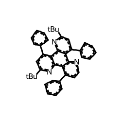 CC(C)(C)c1cc(-c2ccccc2)c2c(n1)c1c(-c3ccccc3)ccnc1c1c(-c3ccccc3)cc(C(C)(C)C)nc12